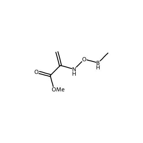 C=C(NOBC)C(=O)OC